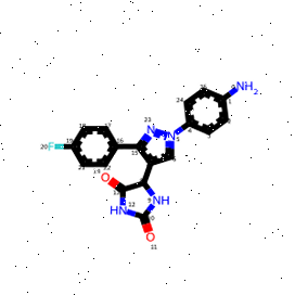 Nc1ccc(-n2cc(C3NC(=O)NC3=O)c(-c3ccc(F)cc3)n2)cc1